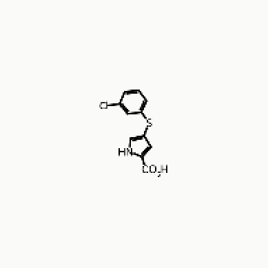 O=C(O)c1cc(Sc2cccc(Cl)c2)c[nH]1